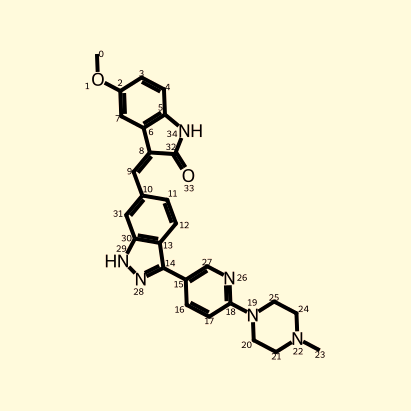 COc1ccc2c(c1)C(=Cc1ccc3c(-c4ccc(N5CCN(C)CC5)nc4)n[nH]c3c1)C(=O)N2